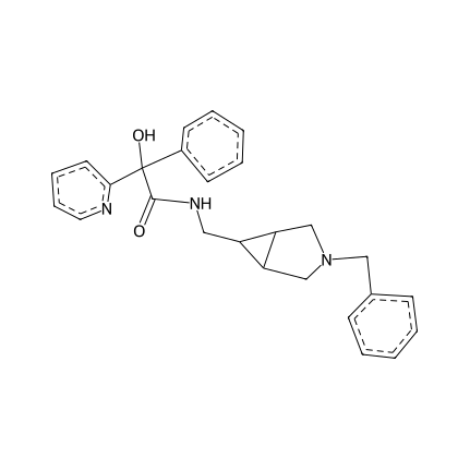 O=C(NCC1C2CN(Cc3ccccc3)CC12)C(O)(c1ccccc1)c1ccccn1